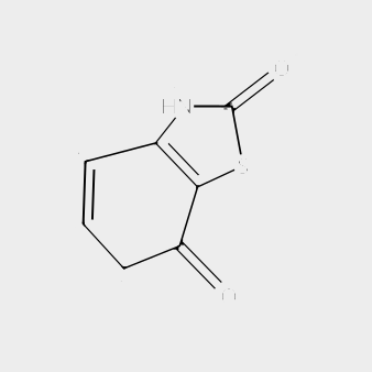 O=C1CC=Cc2[nH]c(=O)sc21